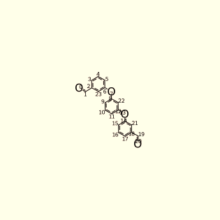 O=Cc1cccc(Oc2cccc(Oc3cccc(C=O)c3)c2)c1